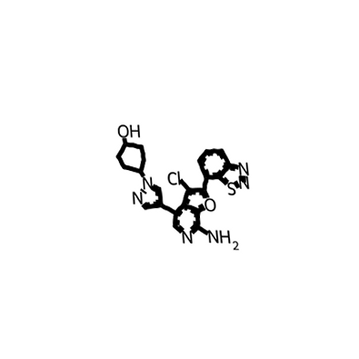 Nc1ncc(-c2cnn(C3CCC(O)CC3)c2)c2c(Cl)c(-c3cccc4nnsc34)oc12